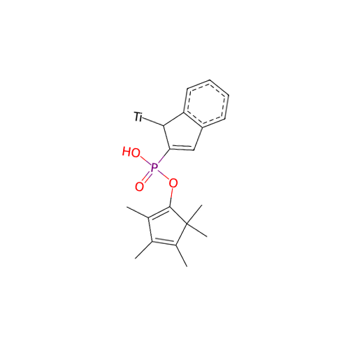 CC1=C(C)C(C)(C)C(OP(=O)(O)C2=Cc3ccccc3[CH]2[Ti])=C1C